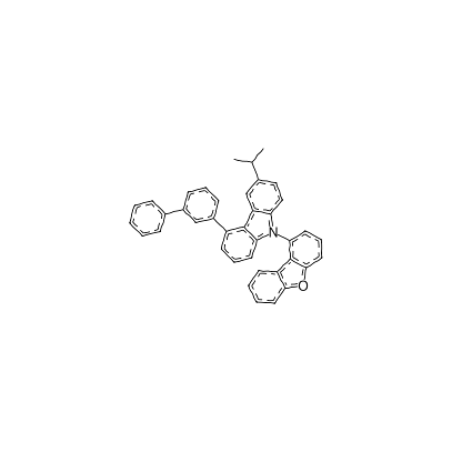 CC(C)c1ccc2c(c1)c1c(-c3cccc(-c4ccccc4)c3)cccc1n2-c1cccc2oc3ccccc3c12